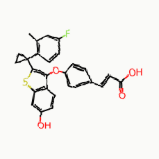 Cc1cc(F)ccc1C1(c2sc3cc(O)ccc3c2Oc2ccc(C=CC(=O)O)cc2)CC1